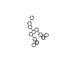 c1ccc(-c2ccc3ccc(-c4c5cccc(-c6ccc7oc8ccccc8c7c6)c5cc5c(-c6ccc7oc8ccccc8c7c6)cccc45)cc3c2)cc1